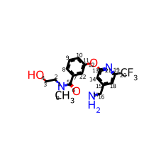 CN(CCO)C(=O)c1cccc(Oc2cc(CN)cc(C(F)(F)F)n2)c1